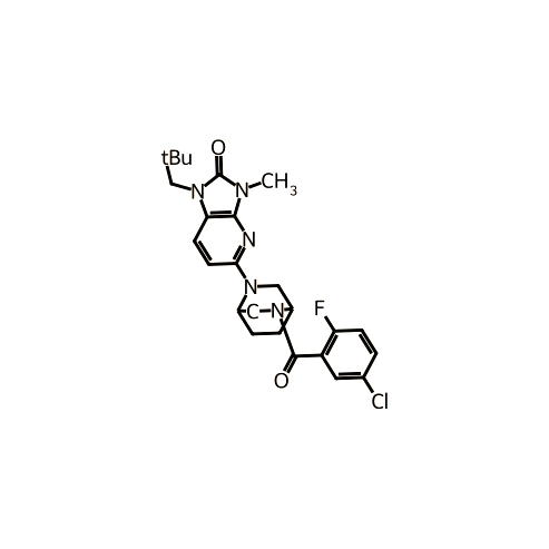 Cn1c(=O)n(CC(C)(C)C)c2ccc(N3CC4CCC3CN4C(=O)c3cc(Cl)ccc3F)nc21